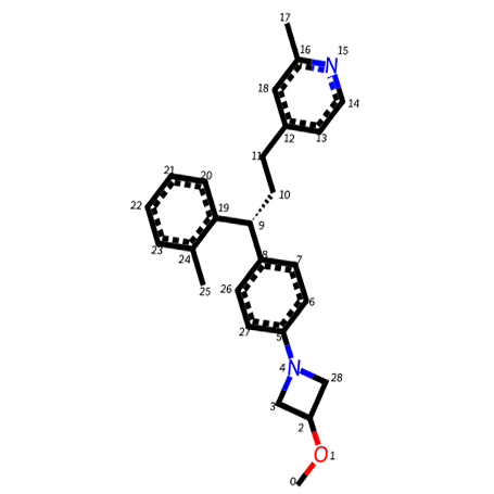 COC1CN(c2ccc([C@@H](CCc3ccnc(C)c3)c3ccccc3C)cc2)C1